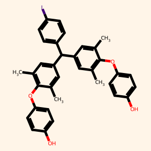 Cc1cc(C(c2ccc(I)cc2)c2cc(C)c(Oc3ccc(O)cc3)c(C)c2)cc(C)c1Oc1ccc(O)cc1